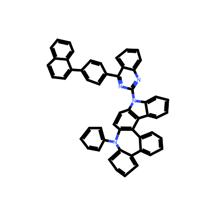 c1ccc(N2c3ccccc3-c3ccccc3-c3c2ccc2c3c3ccccc3n2-c2nc(-c3ccc(-c4cccc5ccccc45)cc3)c3ccccc3n2)cc1